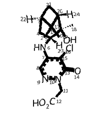 CC1(C)[C@H]2C[C@@H](Nc3cnn(CC(=O)O)c(=O)c3Cl)[C@](C)(O)[C@H]1C2